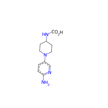 Nc1ccc(N2CCC(NC(=O)O)CC2)cn1